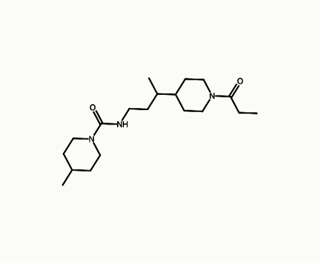 CCC(=O)N1CCC(C(C)CCNC(=O)N2CCC(C)CC2)CC1